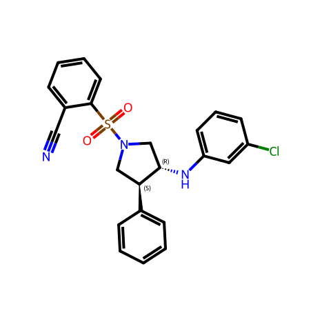 N#Cc1ccccc1S(=O)(=O)N1C[C@H](Nc2cccc(Cl)c2)[C@@H](c2ccccc2)C1